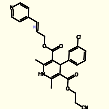 CC1=C(C(=O)OC/C=C/c2ccncc2)C(c2cccc(Cl)c2)C(C(=O)OCCC#N)=C(C)N1